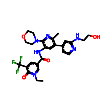 CCn1cc(C(=O)Nc2cc(-c3ccnc(NCCO)c3)c(C)nc2N2CCOCC2)cc(C(F)(F)F)c1=O